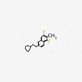 Cc1c(F)cc2cc(CCC3CCCCC3)ccc2c1F